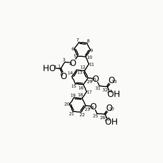 O=C(O)COc1ccccc1Cc1cccc(Cc2ccccc2OCC(=O)O)c1OCC(=O)O